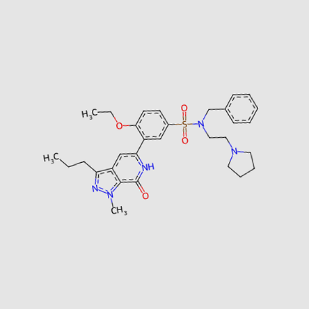 CCCc1nn(C)c2c(=O)[nH]c(-c3cc(S(=O)(=O)N(CCN4CCCC4)Cc4ccccc4)ccc3OCC)cc12